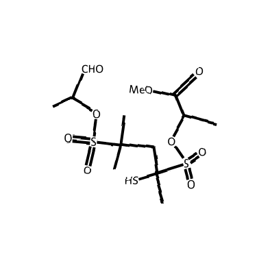 COC(=O)C(C)OS(=O)(=O)C(C)(S)CC(C)(C)S(=O)(=O)OC(C)C=O